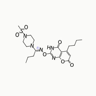 CCCCc1cc(=O)oc2nc(O/N=C(\CCC)N3CCN(S(C)(=O)=O)CC3)[nH]c(=O)c12